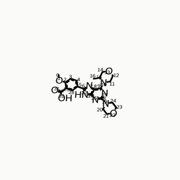 COc1ccc(-c2nc3c(N4CCOCC4C)nc(N4CCOCC4)nc3[nH]2)cc1C(=O)O